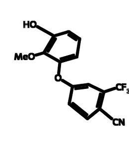 COc1c(O)cccc1Oc1ccc(C#N)c(C(F)(F)F)c1